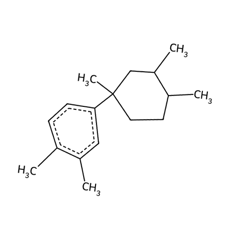 Cc1ccc(C2(C)CCC(C)C(C)C2)cc1C